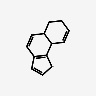 [CH]1C=CC2=C1C1C=CCCC1C=C2